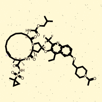 CCc1c(O[C@]2(C)C[C@H]3C(=O)N[C@@](C)(C(=O)NS(=O)(=O)C4(C)CC4)[C@@H](C)/C=C\CCCCC[C@H](NC(=O)OCC(C)C)C(=O)N3C2)c(C(F)(F)F)nc2ccc(OCC3CCN(C(C)=O)CC3)cc12